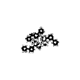 CC1(C)c2ccccc2N(c2nc(-c3cccc(-c4ccccc4)c3)c3nccnc3n2)c2cc3c(cc21)c1ccccc1n3-c1nc(-c2cccc(-c3ccccc3)c2)c2nccnc2n1